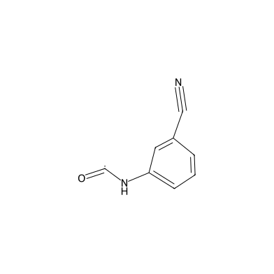 N#Cc1cccc(N[C]=O)c1